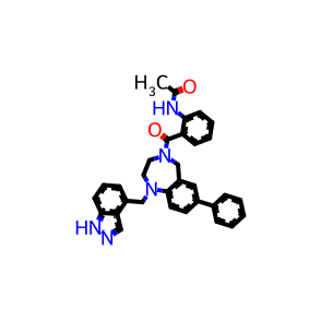 CC(=O)Nc1ccccc1C(=O)N1CCN(Cc2cccc3[nH]ncc23)c2ccc(-c3ccccc3)cc2C1